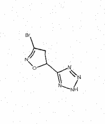 BrC1=NOC(c2nn[nH]n2)C1